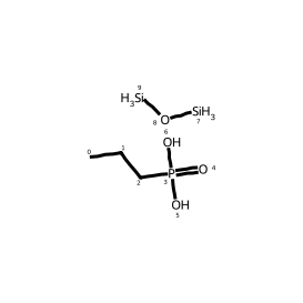 CCCP(=O)(O)O.[SiH3]O[SiH3]